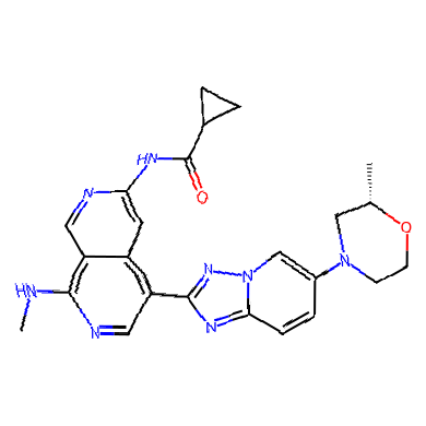 CNc1ncc(-c2nc3ccc(N4CCO[C@@H](C)C4)cn3n2)c2cc(NC(=O)C3CC3)ncc12